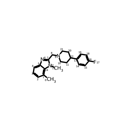 Cc1cccc2nc(CN3CCC(c4ccc(F)cc4)CC3)n(C)c12